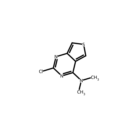 CN(C)c1nc(Cl)nc2cscc12